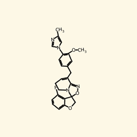 COc1cc(CC2=CCCN3C2=NOC32COc3cccc(F)c32)ccc1-n1cnc(C)c1